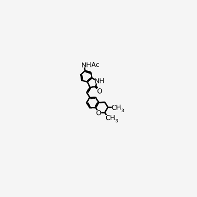 CC(=O)Nc1ccc2c(c1)NC(=O)C2=Cc1ccc2c(c1)CC(C)C(C)O2